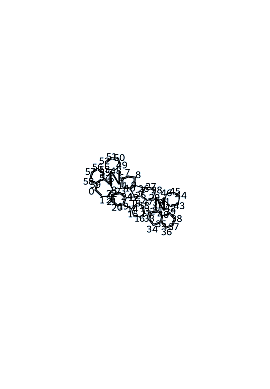 C1=CC=CC(N(c2ccc3c(c2)C2(C4=C(CCC=C4)c4cc#ccc42)C2=C3C=CC(N(c3cccc4ccccc34)C3C=CC=CC3)C2)C2C=CC=CC2)=c2ccccc2=1